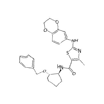 Cc1nc(Nc2ccc3c(c2)OCCO3)sc1C(=O)N[C@H]1CCC[C@@H]1OCc1ccccc1